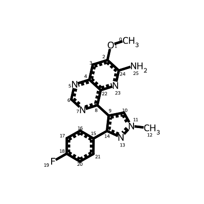 COc1cc2ncnc(-c3cn(C)nc3-c3ccc(F)cc3)c2nc1N